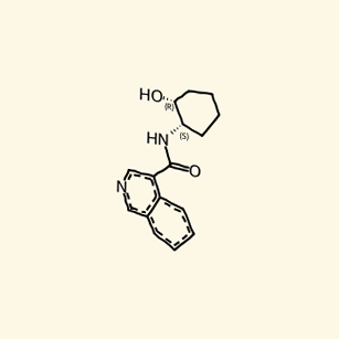 O=C(N[C@H]1CCCC[C@H]1O)c1cncc2ccccc12